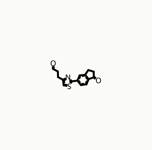 O=CCCc1csc(-c2ccc3c(c2)CCC3=O)n1